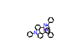 c1ccc(-c2cc(-c3ccccc3)nc(-c3cccc4c3c3c(-c5ccccc5)cccc3n4-c3ccccc3)n2)cc1